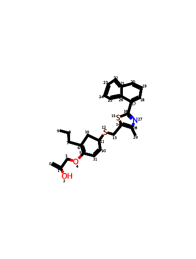 C=C(O)COC1=C(CCC)CC(SCc2sc(-c3cccc4ccccc34)nc2C)C=C1